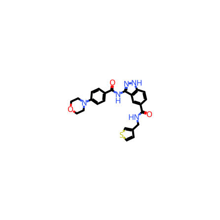 O=C(NCc1ccsc1)c1ccc2[nH]nc(NC(=O)c3ccc(N4CCOCC4)cc3)c2c1